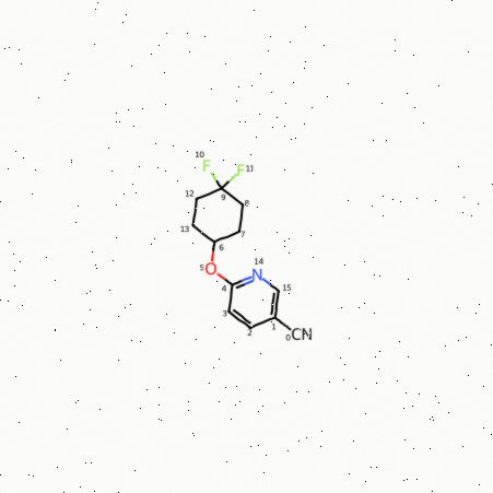 N#Cc1ccc(OC2CCC(F)(F)CC2)nc1